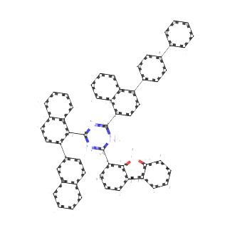 c1ccc(-c2ccc(-c3ccc(-c4nc(-c5c(-c6ccc7ccccc7c6)ccc6ccccc56)nc(-c5cccc6c5oc5ccccc56)n4)c4ccccc34)cc2)cc1